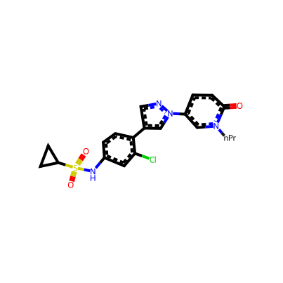 CCCn1cc(-n2cc(-c3ccc(NS(=O)(=O)C4CC4)cc3Cl)cn2)ccc1=O